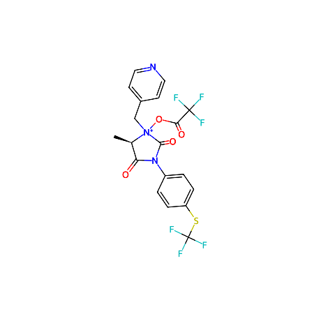 C[C@@H]1C(=O)N(c2ccc(SC(F)(F)F)cc2)C(=O)[N+]1(Cc1ccncc1)OC(=O)C(F)(F)F